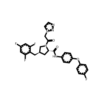 O=C(Nc1ccc(Oc2ccc(F)cc2)cc1)[C@@H]1C[C@@H](Cc2c(F)cc(F)cc2F)CN1C(=O)Cn1ccnn1